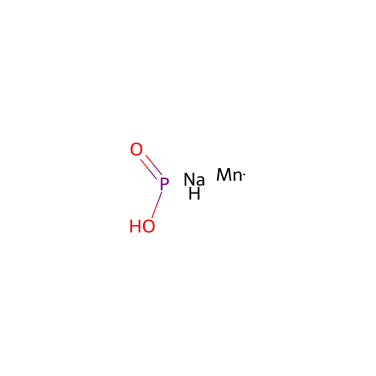 O=PO.[Mn].[NaH]